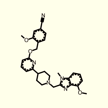 COc1cc(C#N)ccc1COc1cccc(C2CCN(Cc3nc4c(OC)cccc4n3C)CC2)n1